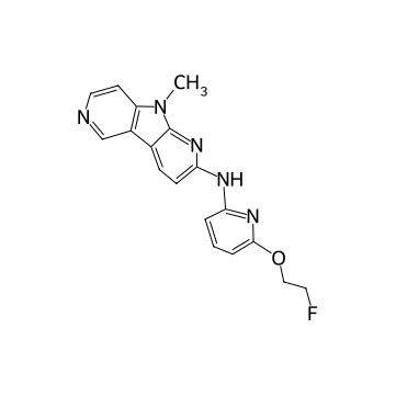 Cn1c2ccncc2c2ccc(Nc3cccc(OCCF)n3)nc21